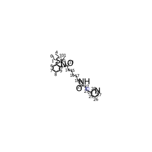 CC[Si]1(CC)c2ccccc2N(C(=O)CCCCCNC(=O)/C=C/c2cccnc2)C1C